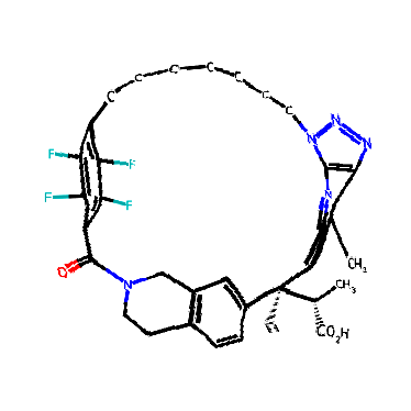 Cc1c2cnc3c1nnn3CCCCCCCc1c(F)c(F)c(c(F)c1F)C(=O)N1CCc3ccc(cc3C1)[C@@H]2[C@H](C)C(=O)O